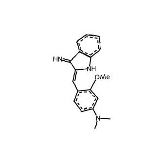 COc1cc(N(C)C)ccc1/C=C1\Nc2ccccc2C1=N